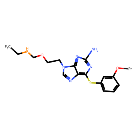 CC(C)Oc1cccc(Sc2nc(N)nc3c2ncn3CCOCPCC(F)(F)F)c1